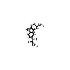 CC(=O)Nc1ccc2[nH]c3c(c2c1)CC(N)CC3